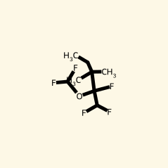 CCC(C)(C)C(F)(OC(F)F)C(F)F